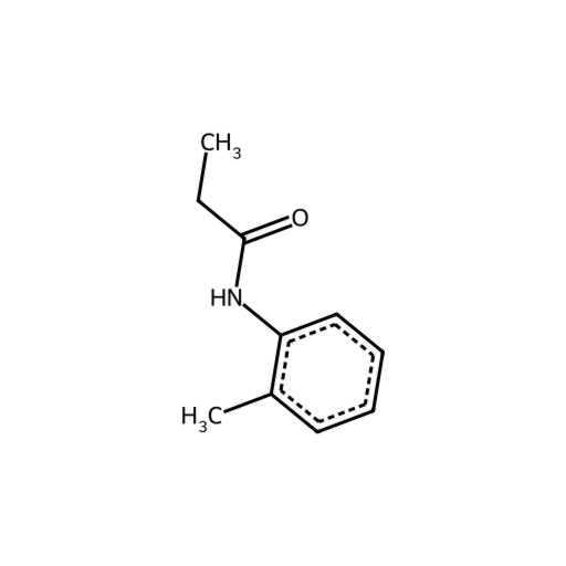 CCC(=O)Nc1ccccc1C